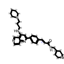 O=C(/C=C/c1ccc(-c2cc(NCCCN3CCCCC3)c3cnccc3n2)cc1)NCC1CCNCC1